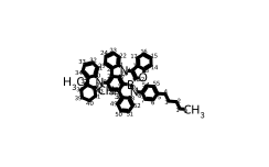 CCCCCc1ccc(N2B3c4oc5ccccc5c4-n4c5ccccc5c5c(N6c7ccccc7C7(C)CCCC[C@]67C)cc(c3c54)-c3ccccc32)cc1